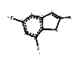 CC1=Cc2cc(F)cc(F)c2C1